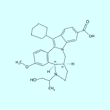 COc1ccc2c(c1)[C@H]1[C@H](CCN1C(C)CO)Cn1c-2c(C2CCCCC2)c2ccc(C(=O)O)cc21